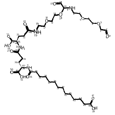 O=[C]COCCOCCNC(C=O)OCCOCCNC(=O)CC[C@@H](NC(=O)CC[C@H](NC(=O)CCCCCCCCCCCCC(=O)O)C(=O)O)C(=O)O